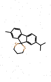 Cc1ccc2c(c1)C1(SCCCS1)c1cc(C(C)C)ccc1-2